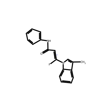 Cc1cn(/C(F)=C/C(=O)Nc2ccccc2)c2ccccc12